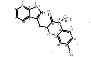 CC(Cc1n[nH]c2ncccc12)C(=O)N(C)c1ccc(Cl)cc1